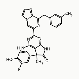 Cc1cccc(Cc2nc(-c3nc(N)c4c(n3)NC(=O)C4(C)c3ccc(O)c(F)c3)cn3ccnc23)c1